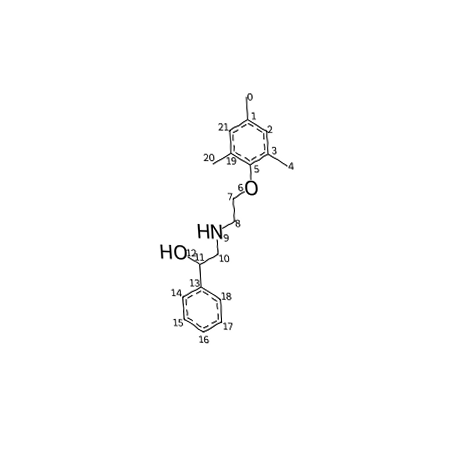 Cc1cc(C)c(OCCNCC(O)c2ccccc2)c(C)c1